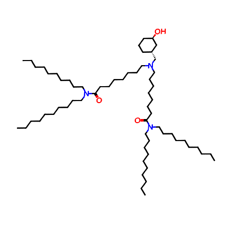 CCCCCCCCCCN(CCCCCCCCCC)C(=O)CCCCCCCN(CCCCCCCC(=O)N(CCCCCCCCCC)CCCCCCCCCC)C[C@@H]1CCC[C@@H](O)C1